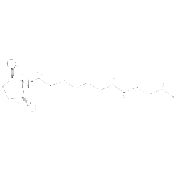 CCCCCCCCCCCCN1C(=O)CCC1=O